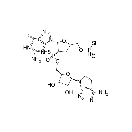 Nc1nc2c(ncn2[C@@H]2OC(CO[PH](=O)S)C[C@H]2P(=O)(S)OC[C@H]2O[C@@H](n3ccc4c(N)ncnc43)[C@H](O)[C@@H]2O)c(=O)[nH]1